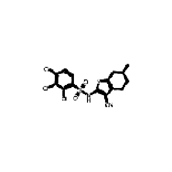 CC1CCc2c(sc(NS(=O)(=O)c3ccc(Cl)c(Cl)c3Cl)c2C#N)C1